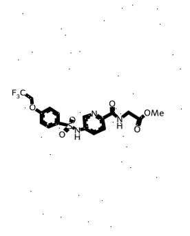 COC(=O)CNC(=O)c1ccc(NS(=O)(=O)c2ccc(OCC(F)(F)F)cc2)cn1